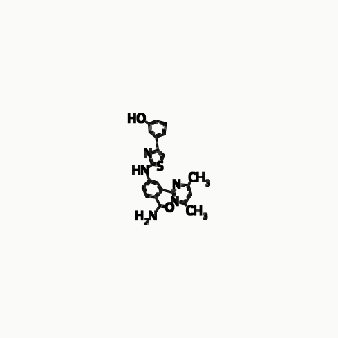 Cc1cc(C)nc(-c2cc(Nc3nc(-c4cccc(O)c4)cs3)ccc2C(N)=O)n1